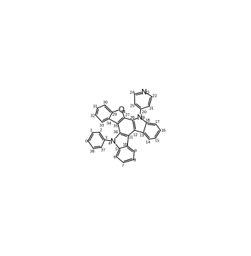 c1ccc(-n2c3ccccc3c3c4c5ccccc5n(-c5ccncc5)c4c4oc5ccccc5c4c32)cc1